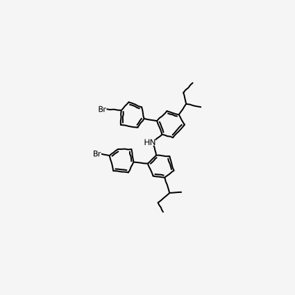 CCC(C)c1ccc(Nc2ccc(C(C)CC)cc2-c2ccc(Br)cc2)c(-c2ccc(Br)cc2)c1